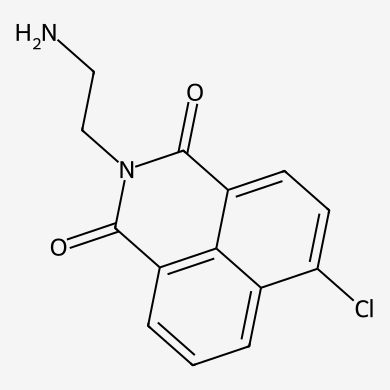 NCCN1C(=O)c2cccc3c(Cl)ccc(c23)C1=O